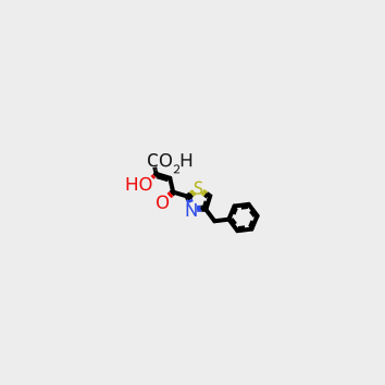 O=C(O)C(O)=CC(=O)c1nc(Cc2ccccc2)cs1